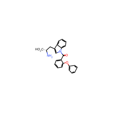 N[C@@H](Cc1cn(C(=O)c2ccccc2Oc2ccccc2)c2ccccc12)C(=O)O